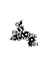 C=CC(=O)N1CCN(c2nc(O[C@@H]3CN(C)C[C@H]3OCC)nc3c(Oc4c(Cl)c(F)cc5[nH]ncc45)nccc23)CC1